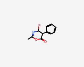 CC1=NC(Br)C(c2ccccc2)C(=O)O1